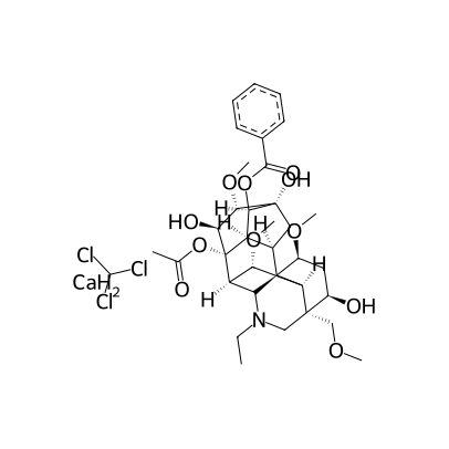 CCN1C[C@]2(COC)[C@H](O)C[C@H](OC)[C@]34C1[C@H]([C@H](OC)[C@H]23)[C@]1(OC(C)=O)[C@H]2[C@@H](OC(=O)c3ccccc3)[C@](O)(C[C@H]24)[C@@H](OC)[C@@H]1O.ClC(Cl)Cl.[CaH2]